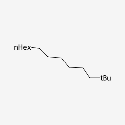 [CH2]CCCCCCCCCCCC(C)(C)C